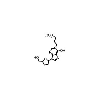 CCOC(=O)CCCN1CN=c2c(ncn2[C@H]2CC[C@@H](CO)O2)=C1O